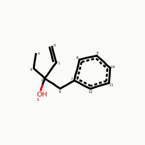 C=CC(O)(CC)Cc1ccccc1